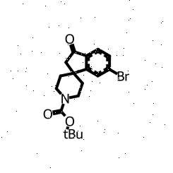 CC(C)(C)OC(=O)N1CCC2(CC1)CC(=O)c1ccc(Br)cc12